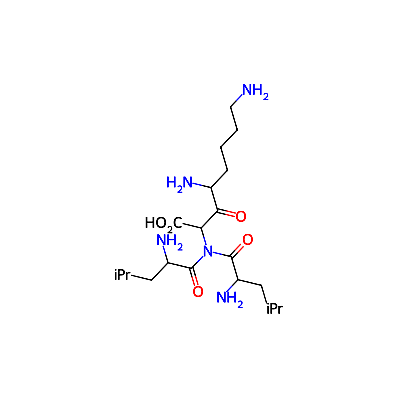 CC(C)CC(N)C(=O)N(C(=O)C(N)CC(C)C)C(C(=O)O)C(=O)C(N)CCCCN